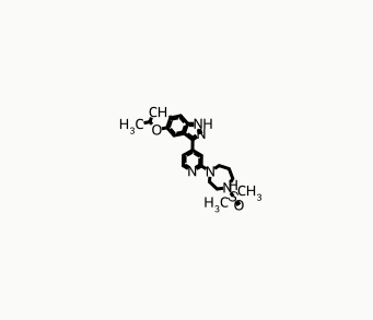 CC(C)Oc1ccc2[nH]nc(-c3ccnc(N4CCCN([SH](C)(C)=O)CC4)c3)c2c1